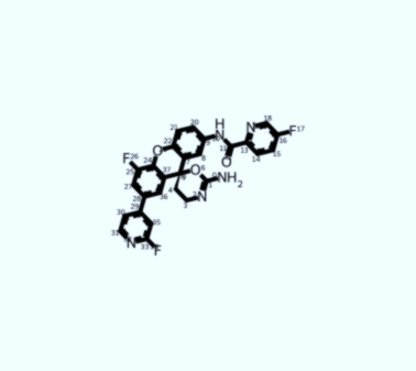 NC1=NCC[C@]2(O1)c1cc(NC(=O)c3ccc(F)cn3)ccc1Oc1c(F)cc(-c3ccnc(F)c3)cc12